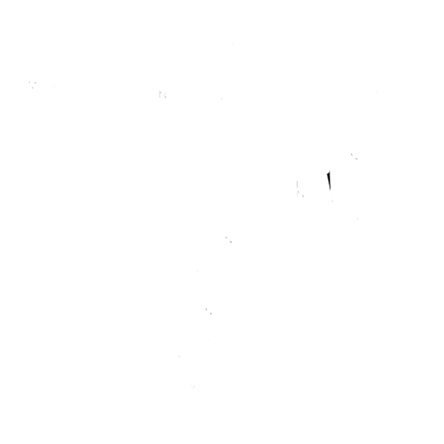 COc1ccc2c(O[C@@H]3C[C@H]4C(=O)N[C@]5(C(=O)NS(=O)(=O)C6(C)CC6)C[C@H]5/C=C\CCCCC[C@H](NC(=O)OC(C)(C)C)C(=O)N4C3)cc(OC3CC3)nc2c1C